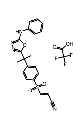 CC(C)(c1ccc(S(=O)(=O)C=CC#N)cc1)c1nnc(Nc2ccccc2)o1.O=C(O)C(F)(F)F